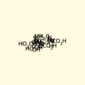 CC1=NC2=CN(C(=O)O)NN2C(SCCC2=C(C(=O)O)N3C(=O)[C@@H](NC(=O)C(=NOC(C(=O)O)c4cc(O)c(O)c(O)c4)c4csc(N)n4)[C@H]3SC2)=C1